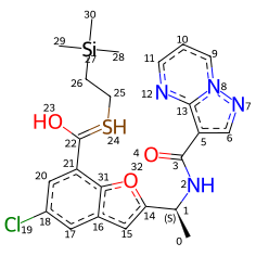 C[C@H](NC(=O)c1cnn2cccnc12)c1cc2cc(Cl)cc(C(O)=[SH]CC[Si](C)(C)C)c2o1